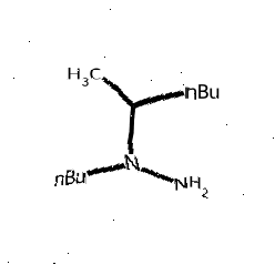 CCCCC(C)N(N)CCCC